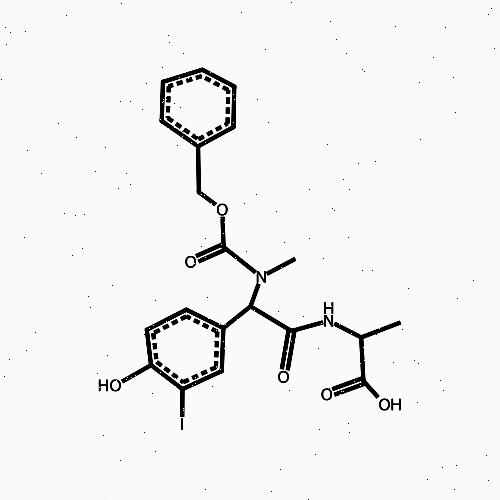 CC(NC(=O)C(c1ccc(O)c(I)c1)N(C)C(=O)OCc1ccccc1)C(=O)O